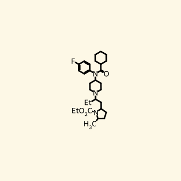 CCOC(=O)N1C(C)CCC1CC(CC)N1CCC(N(C(=O)C2CCCCC2)c2ccc(F)cc2)CC1